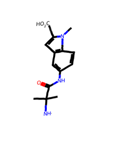 Cn1c(C(=O)O)cc2cc(NC(=O)C(C)(C)[NH])ccc21